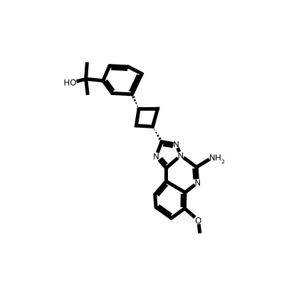 COc1cccc2c1nc(N)n1nc([C@H]3C[C@@H](c4cccc(C(C)(C)O)c4)C3)nc21